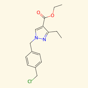 CCOC(=O)c1cn(Cc2ccc(CCl)cc2)nc1CC